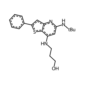 CC(C)(C)Nc1cc(NCCCO)c2sc(-c3ccccc3)cc2n1